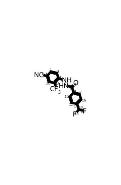 N#Cc1ccc(NNC(=O)c2ccc(C(F)F)cc2)c(C(F)(F)F)c1